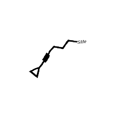 CSCCCC#CC1[CH]C1